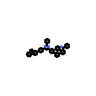 CC1(C)c2ccccc2-c2ccc(-c3ccc(-c4cc(-c5ccc(-c6cccc(-c7cccc8c(-c9ccccc9)nc9ccccc9c78)c6)cc5)nc(-c5ccccc5)n4)cc3)cc21